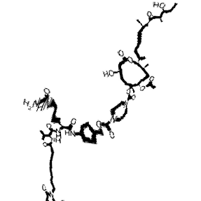 CC[C@H](O)[C@@H](C)[C@H]1O[C@@H]1C[C@H](C)/C=C/C=C(\C)[C@H]1OC(=O)C[C@H](O)CC[C@@](C)(OC(=O)N2CCN(C(=O)OCc3ccc(NC(=O)[C@H](CCCNC(N)=O)NC(=O)[C@@H](NC(=O)CCCCCN4C(=O)C=CC4=O)C(C)C)cc3)CC2)[C@@H](OC(C)=O)/C=C/[C@@H]1C